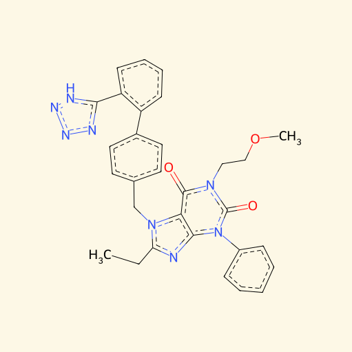 CCc1nc2c(c(=O)n(CCOC)c(=O)n2-c2ccccc2)n1Cc1ccc(-c2ccccc2-c2nnn[nH]2)cc1